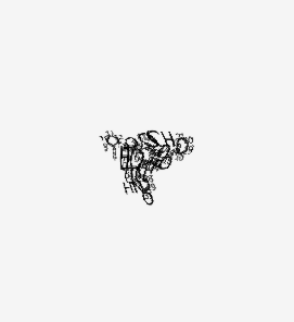 CO[C@@H](COC(=O)c1ccccc1)[C@@H](OC(=O)c1ccccc1)[C@@H](F)[C@@H](O)n1ccc(=O)[nH]c1=O